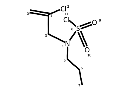 C=C(Cl)CN(CCC)S(=O)(=O)Cl